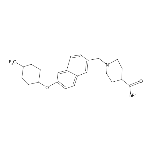 CCCC(=O)C1CCN(Cc2ccc3cc(OC4CCC(C(F)(F)F)CC4)ccc3c2)CC1